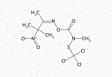 CC(=NOC(=O)N(C)SC(Cl)(Cl)Cl)C(C)(C)[N+](=O)[O-]